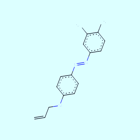 C=CCNc1ccc(N=Nc2ccc(C#N)c(C#N)c2)cc1